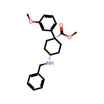 COc1cccc([C@]2(C(=O)OC)CC[C@@H](NCc3ccccc3)CC2)c1